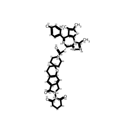 Cc1sc2c(c1C)C(c1ccc(Cl)cc1)=N[C@@H](CC(=O)N1CCC3(CCc4cc5c(cc4O3)CN(N3C(=O)CCCC3=O)C5=O)CC1)c1nnc(C)n1-2